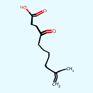 C=C(C)CCCC(=O)CC(=O)O